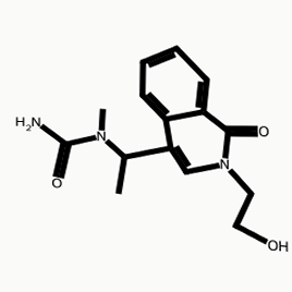 CC(c1cn(CCO)c(=O)c2ccccc12)N(C)C(N)=O